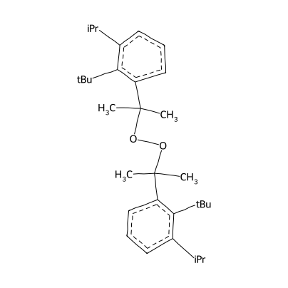 CC(C)c1cccc(C(C)(C)OOC(C)(C)c2cccc(C(C)C)c2C(C)(C)C)c1C(C)(C)C